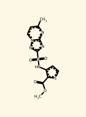 COC(=O)c1sccc1NS(=O)(=O)c1nc2nc(C)ccn2n1